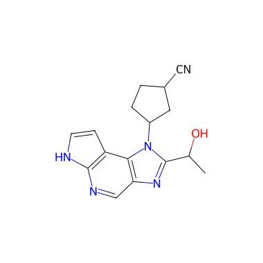 CC(O)c1nc2cnc3[nH]ccc3c2n1C1CCC(C#N)C1